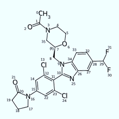 CC(=O)N1CCO[C@@H](Cn2c(-c3c(Cl)cc(N4CCCC4=O)cc3Cl)nc3cc(C(F)F)ccc32)C1